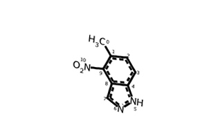 Cc1ccc2[nH]ncc2c1[N+](=O)[O-]